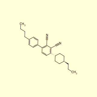 CCCCc1ccc(-c2ccc([C@H]3CC[C@H](CCC)CC3)c(C#N)c2C#N)cc1